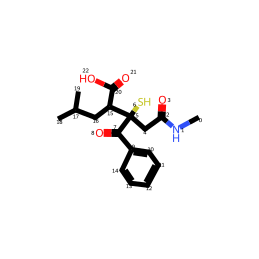 CNC(=O)CC(S)(C(=O)c1ccccc1)C(CC(C)C)C(=O)O